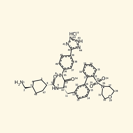 Cl.NC[C@H]1CC[C@H](C(=O)N[C@@H](Cc2cccc(-c3ccccc3S(=O)(=O)N3CCOCC3)c2)C(=O)Nc2ccc(-c3nn[nH]n3)cc2)CC1